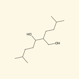 CC(C)CCC(O)C(CO)CCC(C)C